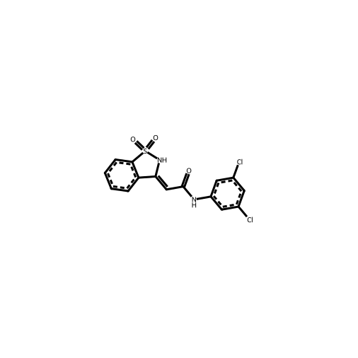 O=C(C=C1NS(=O)(=O)c2ccccc21)Nc1cc(Cl)cc(Cl)c1